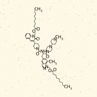 CCCCCCCCC(=O)OCn1ncc2cc(CC(NC(=O)N3CCC(c4cc5ccccc5n(COC(=O)CCCCCCCC)c4=O)CC3)C(=O)N3CCN(C4CCN(C)CC4)CC3)cc(C)c21